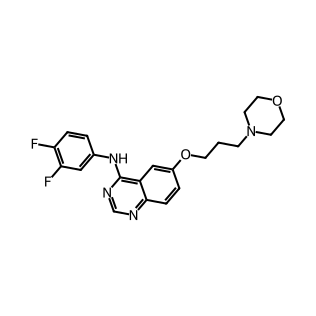 Fc1ccc(Nc2ncnc3ccc(OCCCN4CCOCC4)cc23)cc1F